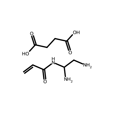 C=CC(=O)NC(N)CN.O=C(O)CCC(=O)O